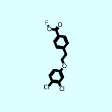 O=C(OF)c1ccc(CCOc2ccc(Cl)c(Cl)c2)cc1